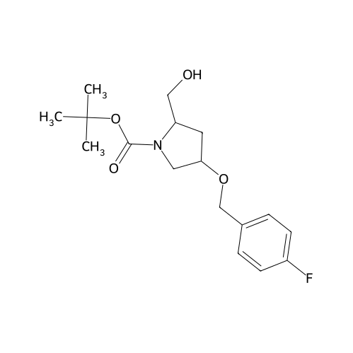 CC(C)(C)OC(=O)N1CC(OCc2ccc(F)cc2)CC1CO